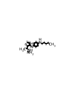 CCCCCNc1ccc(Nc2ccsc2C(C)NN)cc1